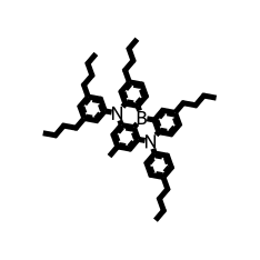 CCCCc1ccc(N2c3ccc(CCCC)cc3B3c4ccc(CCCC)cc4N(c4cc(CCCC)cc(CCCC)c4)c4cc(C)cc2c43)cc1